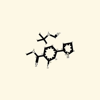 CC(C)(C)OC=O.COC(=O)c1ccc(-c2ccc[nH]2)cc1F